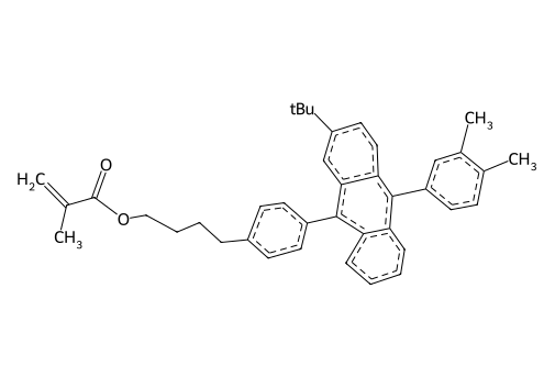 C=C(C)C(=O)OCCCCc1ccc(-c2c3ccccc3c(-c3ccc(C)c(C)c3)c3ccc(C(C)(C)C)cc23)cc1